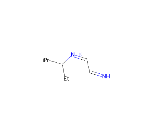 CCC(/N=C\C=N)C(C)C